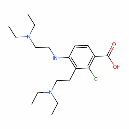 CCN(CC)CCNc1ccc(C(=O)O)c(Cl)c1CCN(CC)CC